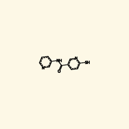 O=C(Nc1cccnc1)c1ccc(S)nc1